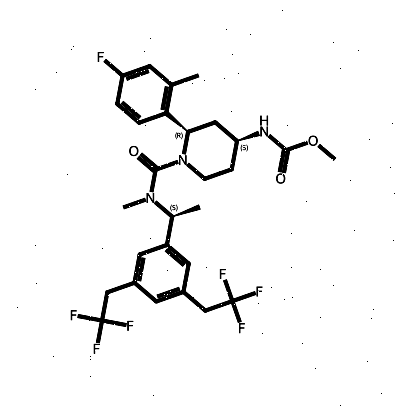 COC(=O)N[C@H]1CCN(C(=O)N(C)[C@@H](C)c2cc(CC(F)(F)F)cc(CC(F)(F)F)c2)[C@@H](c2ccc(F)cc2C)C1